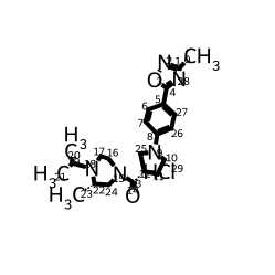 Cc1noc(-c2ccc(N3CC[C@H](C(=O)N4CCN(C(C)C)[C@@H](C)C4)C3)cc2)n1.Cl